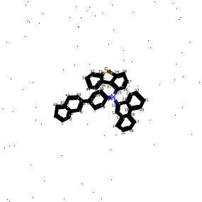 c1ccc2cc(-c3ccc(N(c4cc5ccccc5c5ccccc45)c4cccc5sc6ccccc6c45)cc3)ccc2c1